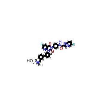 CC(C)(C)N(Cc1cccc(-c2cccc(-n3c(=O)n(C4CCC(NC(=O)c5cn6cc(F)ccc6n5)CC4)c(=O)c4cc(F)cnc43)c2)c1)C(=O)O